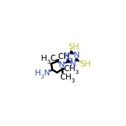 CC1(C)CC(N)CC(C)(C)N1c1nc(S)nc(S)n1